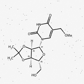 COCc1cn([C@@H]2O[C@H](CO)[C@H]3OC(C)(C)O[C@H]32)c(=O)[nH]c1=O